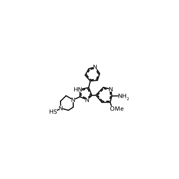 COc1cc(-c2nc(N3CCN(S)CC3)[nH]c2-c2ccncc2)cnc1N